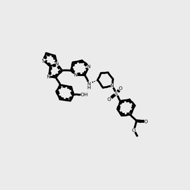 COC(=O)c1ccc(S(=O)(=O)N2CCC[C@@H](Nc3nccc(-c4c(-c5cccc(O)c5)nc5sccn45)n3)C2)cc1